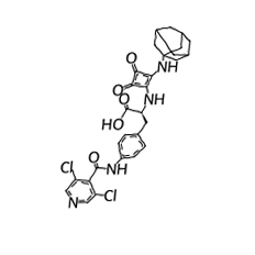 O=C(Nc1ccc(C[C@H](Nc2c(NC34CC5CC(CC(C5)C3)C4)c(=O)c2=O)C(=O)O)cc1)c1c(Cl)cncc1Cl